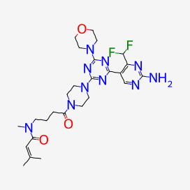 CC(C)=CC(=O)N(C)CCCC(=O)N1CCN(c2nc(-c3cnc(N)nc3C(F)F)nc(N3CCOCC3)n2)CC1